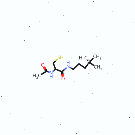 CC(=O)NC(CS)C(=O)NCCC[Si](C)(C)C